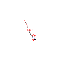 CCOCCOCCCOC(=O)CCCC(=O)CN1C(=O)CCC1=O